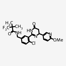 COc1ccc(C2CC(=O)NC(c3cc(CNC(=O)C(C)(C)C(F)(F)F)ccc3Cl)=N2)cn1